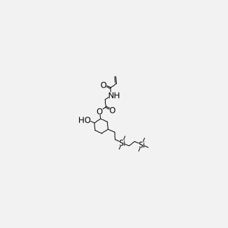 C=CC(=O)NCC(=O)OC1CC(CC[Si](C)(C)CC[Si](C)(C)C)CCC1O